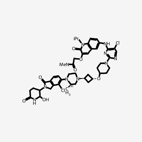 CNC(=O)COc1cc2cc(Nc3nc(N4CCC(O[C@H]5C[C@H](N6CCN(c7ccc8c(c7Cl)CN(C7CCC(=O)NC7O)C8=O)[C@H](C)C6)C5)CC4)ncc3Cl)ccc2n(C(C)C)c1=O